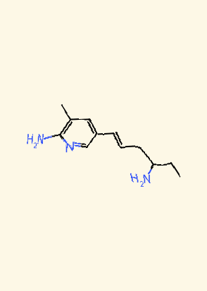 CCC(N)CC=Cc1cnc(N)c(C)c1